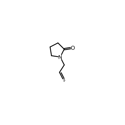 O=C1CCCN1CC=[I]